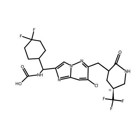 O=C(O)NC(c1cn2nc(CC3C[C@H](C(F)(F)F)CNC3=O)c(Cl)cc2n1)C1CCC(F)(F)CC1